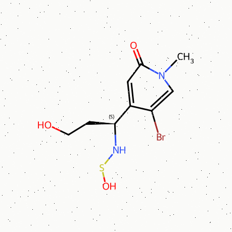 Cn1cc(Br)c([C@H](CCO)NSO)cc1=O